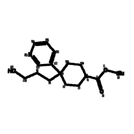 CC(C)(C)OC(=O)N1CCC(CCCO)(c2cccnc2)CC1